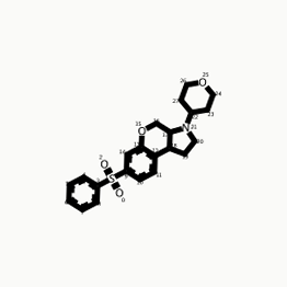 O=S(=O)(c1ccccc1)c1ccc2c(c1)OCC1C2CCN1C1CCOCC1